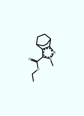 CCOC(=O)c1c2c(nn1C)C1CCC2CC1